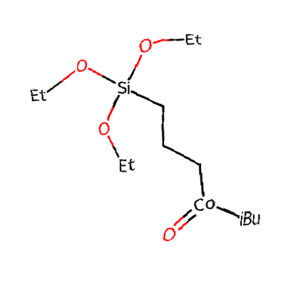 CCO[Si](CC[CH2][Co](=[O])[CH](C)CC)(OCC)OCC